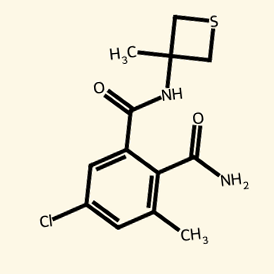 Cc1cc(Cl)cc(C(=O)NC2(C)CSC2)c1C(N)=O